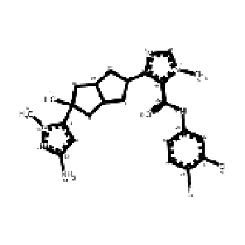 Cn1cnc(C2CC3CC(O)(c4cc(N)nn4C)CC3C2)c1C(=O)Nc1ccc(F)c(Cl)c1